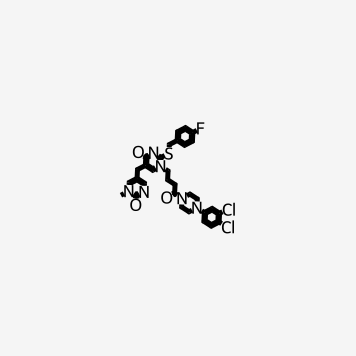 Cn1cc(Cc2cn(CCCC(=O)N3CCN(c4ccc(Cl)c(Cl)c4)CC3)c(SCc3ccc(F)cc3)nc2=O)cnc1=O